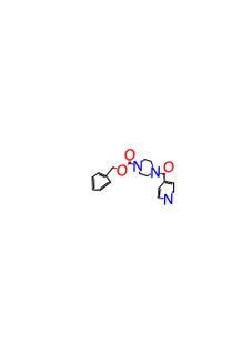 O=C(OCc1ccccc1)N1CCN(C(=O)c2ccncc2)CC1